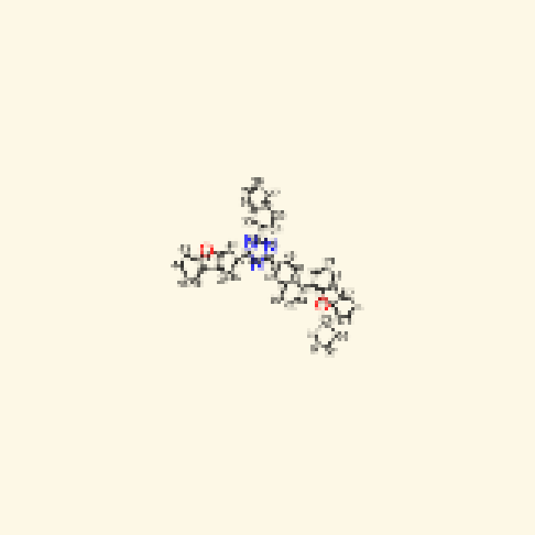 c1ccc(-c2cccc3c2oc2c(-c4cccc5cc(-c6nc(-c7ccc8ccccc8c7)nc(-c7ccc8c(c7)oc7ccccc78)n6)ccc45)cccc23)cc1